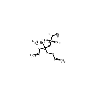 C=CCCC(CC)(CC=C)OS(=O)(=O)OCC.N